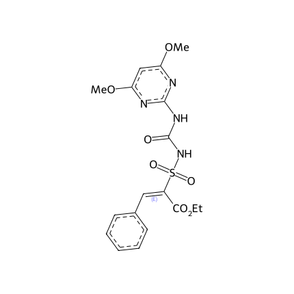 CCOC(=O)/C(=C\c1ccccc1)S(=O)(=O)NC(=O)Nc1nc(OC)cc(OC)n1